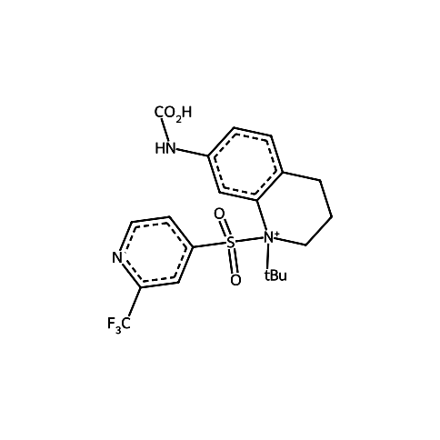 CC(C)(C)[N+]1(S(=O)(=O)c2ccnc(C(F)(F)F)c2)CCCc2ccc(NC(=O)O)cc21